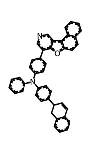 C1=CC(c2ccc(N(c3ccccc3)c3ccc(-c4cncc5c4oc4ccc6ccccc6c45)cc3)cc2)Cc2ccccc21